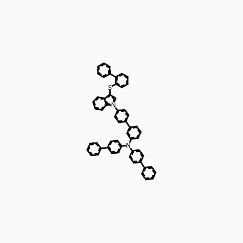 c1ccc(-c2ccc(N(c3ccc(-c4ccccc4)cc3)c3cccc(-c4ccc(-n5cc(Sc6ccccc6-c6ccccc6)c6ccccc65)cc4)c3)cc2)cc1